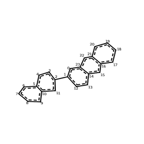 [c]1c(-c2ccc3ccccc3c2)ccc2cc3ccccc3cc12